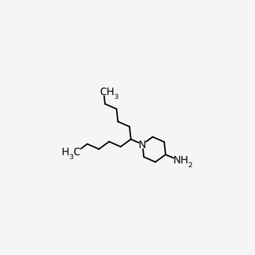 CCCCCC(CCCCC)N1CCC(N)CC1